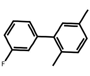 Cc1ccc(C)c(-c2cccc(F)c2)c1